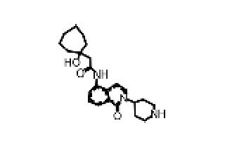 O=C(CC1(O)CCCCCC1)Nc1cccc2c(=O)n(C3CCNCC3)ccc12